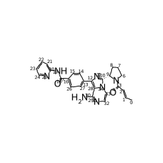 C/C=C/C(=O)N1CCC[C@H]1c1nc(-c2ccc(C(=O)Nc3ccccn3)cc2)c2c(N)nccn12